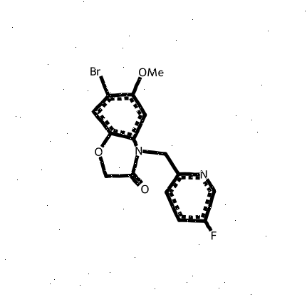 COc1cc2c(cc1Br)OCC(=O)N2Cc1ccc(F)cn1